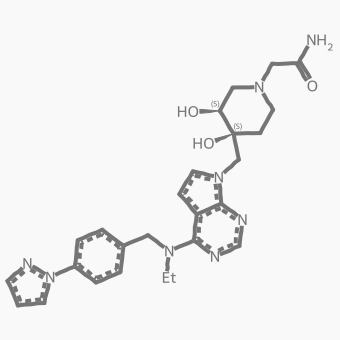 CCN(Cc1ccc(-n2cccn2)cc1)c1ncnc2c1ccn2C[C@@]1(O)CCN(CC(N)=O)C[C@@H]1O